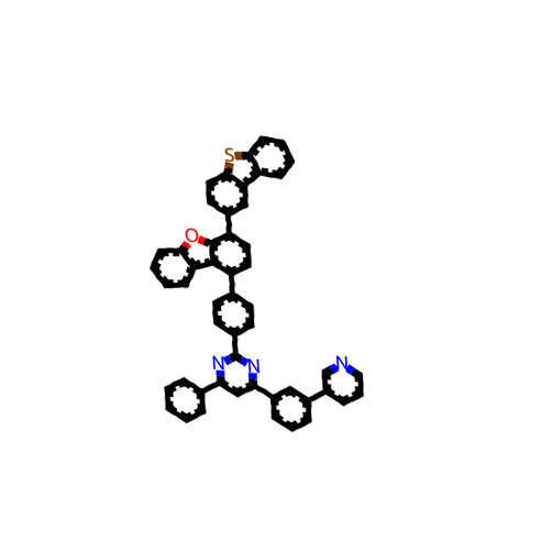 c1ccc(-c2cc(-c3cccc(-c4cccnc4)c3)nc(-c3ccc(-c4ccc(-c5ccc6sc7ccccc7c6c5)c5oc6ccccc6c45)cc3)n2)cc1